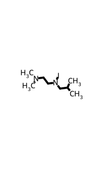 CC(C)CN(I)CCN(C)C